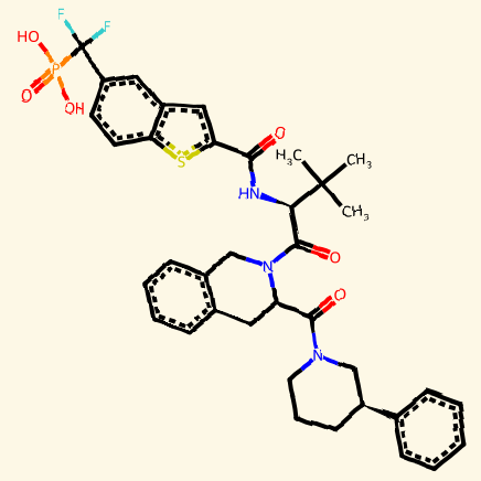 CC(C)(C)[C@H](NC(=O)c1cc2cc(C(F)(F)P(=O)(O)O)ccc2s1)C(=O)N1Cc2ccccc2CC1C(=O)N1CCC[C@H](c2ccccc2)C1